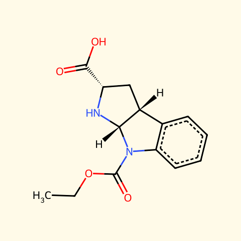 CCOC(=O)N1c2ccccc2[C@H]2C[C@@H](C(=O)O)N[C@H]21